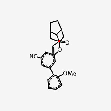 C=CC(=O)C1C2CCC1CC(Oc1cc(C#N)cc(-c3ccccc3OC)c1)C2